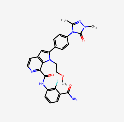 COCCn1c(-c2ccc(-n3c(C)nn(C)c3=O)cc2)cc2ccnc(C(=O)Nc3cccc(C(N)=O)c3F)c21